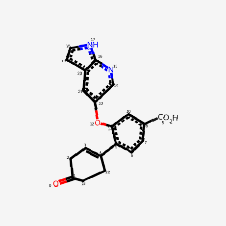 O=C1CC=C(c2ccc(C(=O)O)cc2Oc2cnc3[nH]ccc3c2)CC1